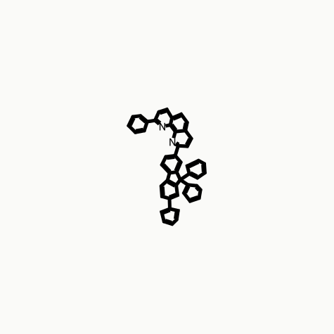 c1ccc(-c2ccc3c(c2)C(c2ccccc2)(c2ccccc2)c2cc(-c4ccc5ccc6ccc(-c7ccccc7)nc6c5n4)ccc2-3)cc1